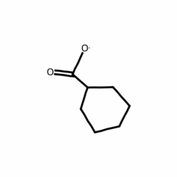 [O]C(=O)C1CCCCC1